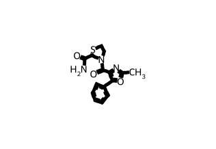 Cc1nc(C(=O)N2CCSC2C(N)=O)c(-c2ccccc2)o1